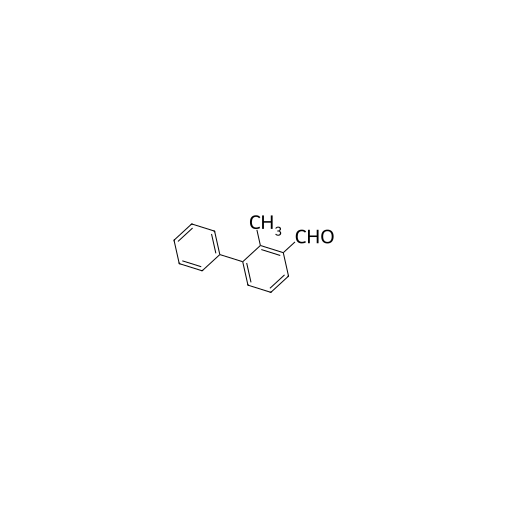 Cc1c(C=O)cccc1-c1ccccc1